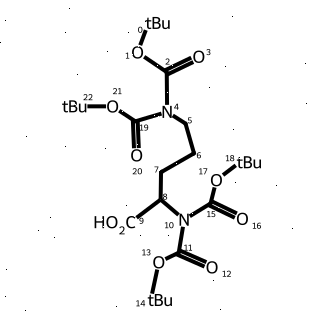 CC(C)(C)OC(=O)N(CCCC(C(=O)O)N(C(=O)OC(C)(C)C)C(=O)OC(C)(C)C)C(=O)OC(C)(C)C